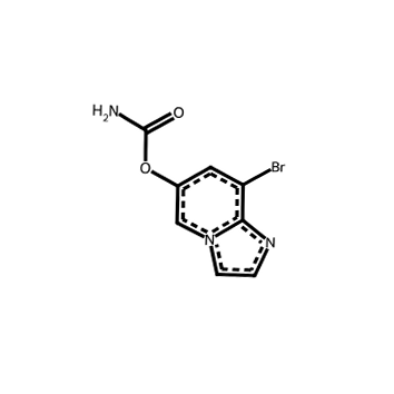 NC(=O)Oc1cc(Br)c2nccn2c1